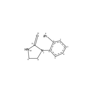 CC(C)c1ccccc1N1CCNC1=O